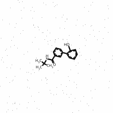 CC(C)(C)NC(=O)c1cccc(-c2ccccc2O)c1